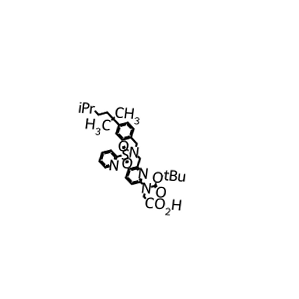 CC(C)CCC(C)(C)c1ccc(CN(Cc2cccc(N(CC(=O)O)C(=O)OC(C)(C)C)n2)S(=O)(=O)c2ccccn2)cc1